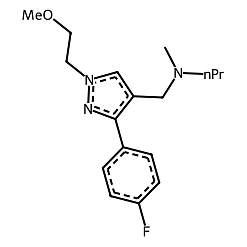 CCCN(C)Cc1cn(CCOC)nc1-c1ccc(F)cc1